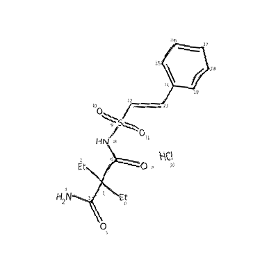 CCC(CC)(C(N)=O)C(=O)NS(=O)(=O)C=Cc1ccccc1.Cl